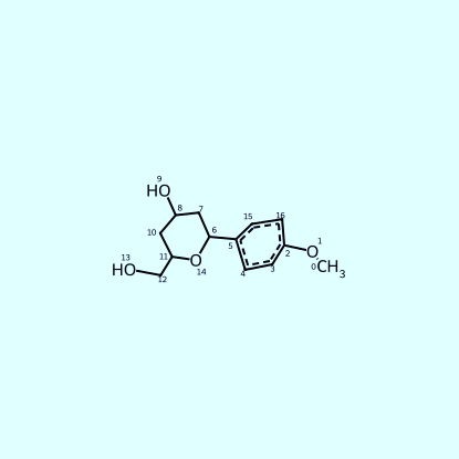 COc1ccc(C2CC(O)CC(CO)O2)cc1